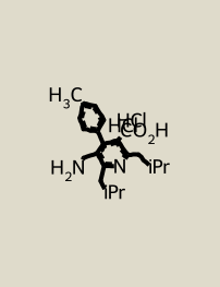 Cc1ccc(-c2c(CN)c(CC(C)C)nc(CC(C)C)c2C(=O)O)cc1.Cl.Cl